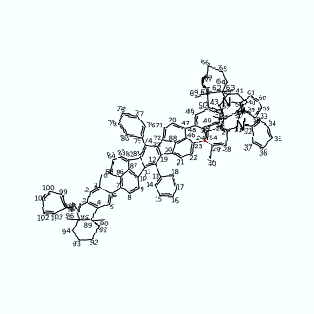 Cc1cc2c(cc1-c1ccc3c4c(-c5ccccc5)c5c6ccc(-c7cc8c(cc7C)N(c7ccccc7)C7(C)CCCCC87C)c7c(-c8cc9c(cc8C)N(c8ccccc8)C8(C)CCCCC98C)ccc(c5c(-c5ccccc5)c4c4cccc1c43)c76)C1(C)CCCCC1(C)N2c1ccccc1